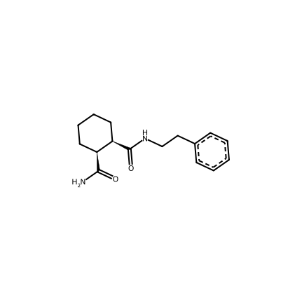 NC(=O)[C@H]1CCCC[C@H]1C(=O)NCCc1ccccc1